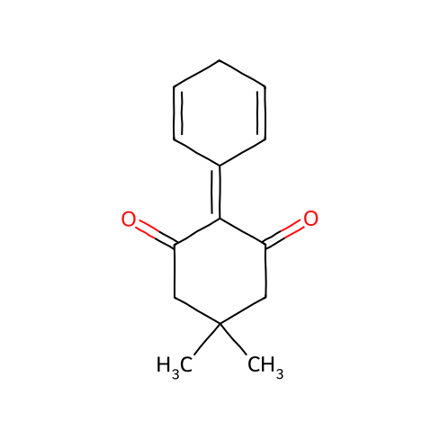 CC1(C)CC(=O)C(=C2C=CCC=C2)C(=O)C1